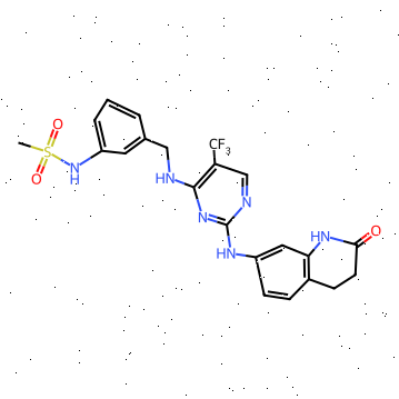 CS(=O)(=O)Nc1cccc(CNc2nc(Nc3ccc4c(c3)NC(=O)CC4)ncc2C(F)(F)F)c1